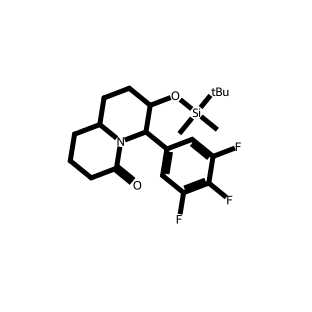 CC(C)(C)[Si](C)(C)OC1CCC2CCCC(=O)N2C1c1cc(F)c(F)c(F)c1